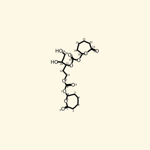 O=C1CCCCC(OC(=O)OCCC(OC(=O)OC2CCCCC(=O)O2)C(O)CO)O1